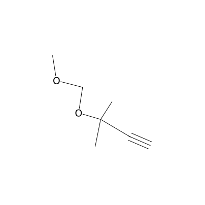 C#CC(C)(C)OCOC